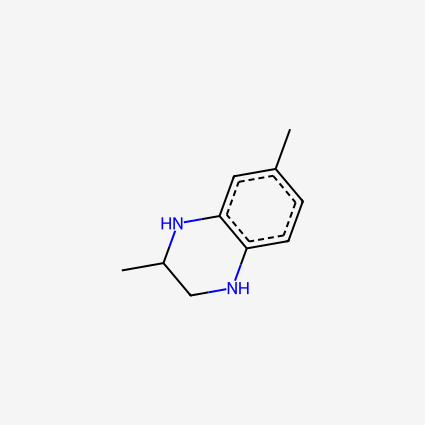 Cc1ccc2c(c1)NC(C)CN2